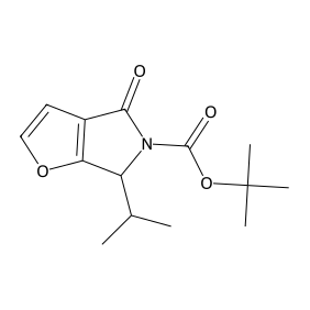 CC(C)C1c2occc2C(=O)N1C(=O)OC(C)(C)C